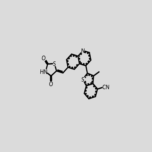 Cc1c(-c2ccnc3ccc(/C=C4\SC(=O)NC4=O)cc23)sc2cccc(C#N)c12